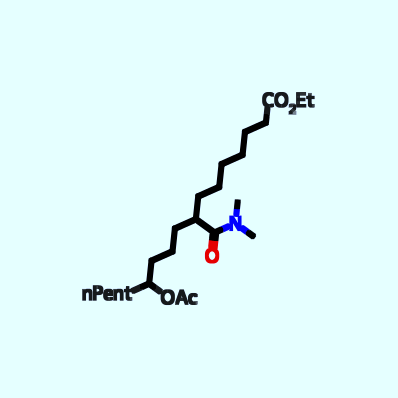 CCCCCC(CCCC(CCCCCCC(=O)OCC)C(=O)N(C)C)OC(C)=O